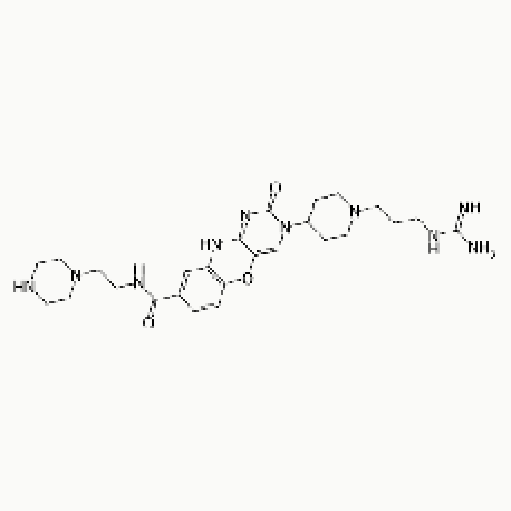 N=C(N)NCCCN1CCC(n2cc3c(nc2=O)Nc2cc(C(=O)NCCN4CCNCC4)ccc2O3)CC1